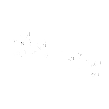 C[C@@]1(/C=N/NC(=O)CCCCCNC(=O)c2ccc(O)c(O)c2)S[C@@H]2CC(=O)N2[C@H]1C(=O)O